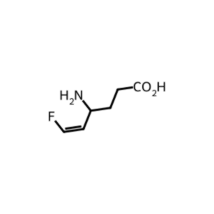 NC(/C=C\F)CCC(=O)O